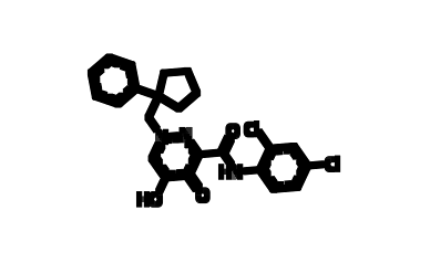 O=C(Nc1ccc(Cl)cc1Cl)c1nn(CC2(c3ccccc3)CCCC2)cc(O)c1=O